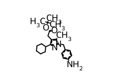 Cc1c(CC(=O)OC(C)(C)C)c(C2CCCCC2)nn1Cc1ccc(N)cc1